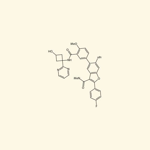 CCCc1cc2oc(-c3ccc(F)cc3)c(C(=O)NC)c2cc1-c1ccc(OC)c(C(=O)NC2(c3ncccn3)CC(O)C2)c1